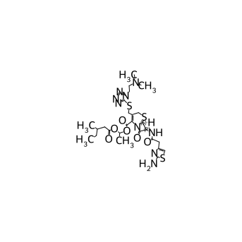 CCC(C)CC(=O)OC(C)OC(=O)C1=C(CSc2nnnn2CCN(C)C)CS[C@H]2[C@H](NC(=O)Cc3csc(N)n3)C(=O)N12